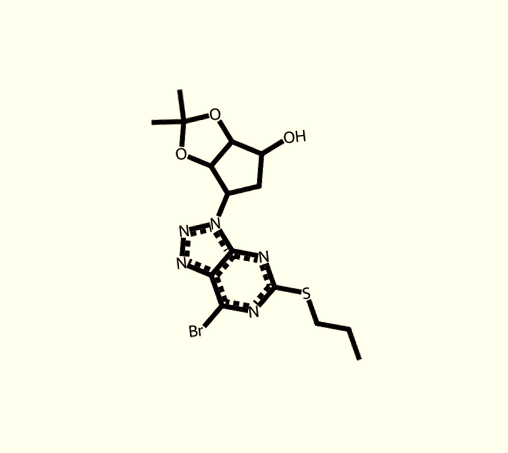 CCCSc1nc(Br)c2nnn(C3CC(O)C4OC(C)(C)OC43)c2n1